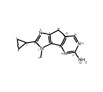 Cn1c(C2CC2)nc2c1-c1nc(N)ncc1C2